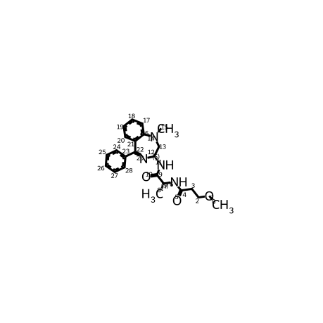 COCCC(=O)N[C@@H](C)C(=O)N[C@@H]1CN(C)c2ccccc2C(c2ccccc2)=N1